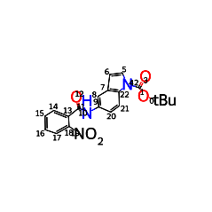 CC(C)(C)OC(=O)n1ccc2cc(NC(=O)c3ccccc3[N+](=O)[O-])ccc21